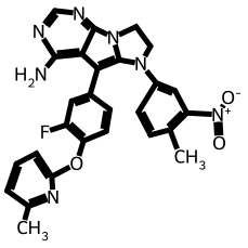 Cc1cccc(Oc2ccc(-c3c4n(c5ncnc(N)c35)CCN4c3ccc(C)c([N+](=O)[O-])c3)cc2F)n1